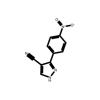 N#Cc1c[nH]nc1-c1ccc([N+](=O)[O-])cc1